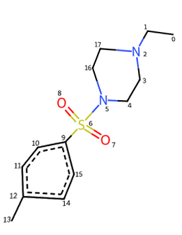 CCN1CCN(S(=O)(=O)c2ccc(C)cc2)CC1